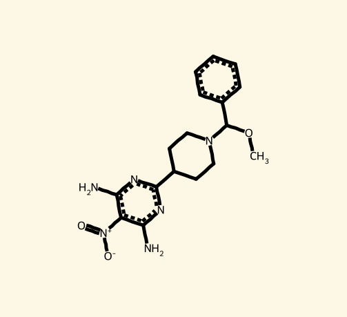 COC(c1ccccc1)N1CCC(c2nc(N)c([N+](=O)[O-])c(N)n2)CC1